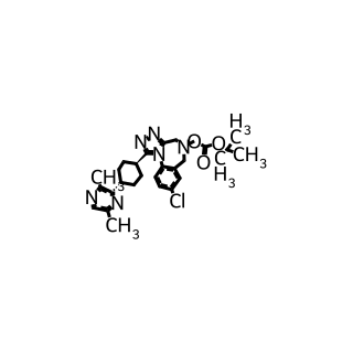 Cc1cnc(C)c([C@H]2CC[C@H](c3nnc4n3-c3ccc(Cl)cc3CN(OC(=O)OC(C)(C)C)C4)CC2)n1